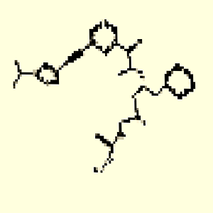 CN(C[C@H](Cc1ccccc1)OC(=O)CNC(=O)OC(C)(C)C)C(=O)c1cncc(C#Cc2cnn(C(F)F)c2)c1